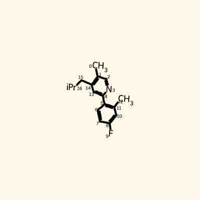 Cc1cnc(-c2ccc(F)cc2C)cc1CC(C)C